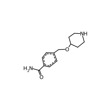 NC(=O)c1ccc(COC2CCNCC2)cc1